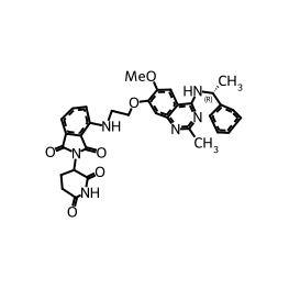 COc1cc2c(N[C@H](C)c3ccccc3)nc(C)nc2cc1OCCNc1cccc2c1C(=O)N(C1CCC(=O)NC1=O)C2=O